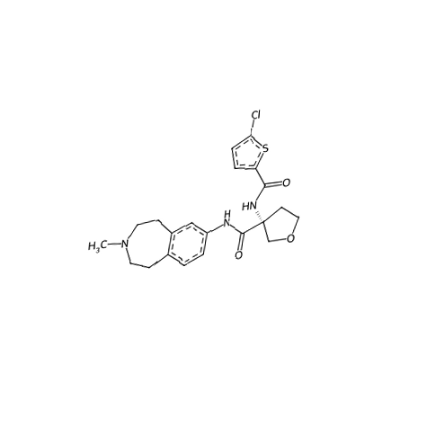 CN1CCc2ccc(NC(=O)[C@@]3(NC(=O)c4ccc(Cl)s4)CCOC3)cc2CC1